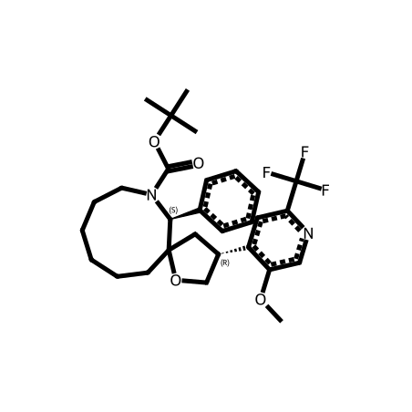 COc1cnc(C(F)(F)F)cc1[C@@H]1COC2(CCCCCCN(C(=O)OC(C)(C)C)[C@H]2c2ccccc2)C1